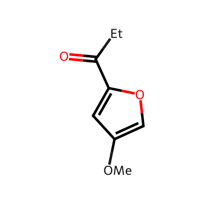 CCC(=O)c1cc(OC)co1